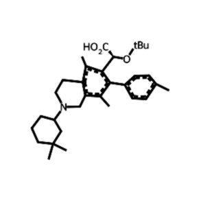 Cc1ccc(-c2c(C)c3c(c(C)c2[C@H](OC(C)(C)C)C(=O)O)CCN(C2CCCC(C)(C)C2)C3)cc1